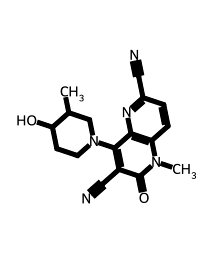 CC1CN(c2c(C#N)c(=O)n(C)c3ccc(C#N)nc23)CCC1O